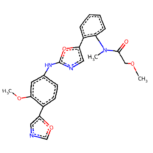 COCC(=O)N(C)c1ccccc1-c1cnc(Nc2ccc(-c3cnco3)c(OC)c2)o1